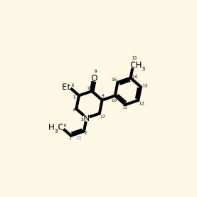 C/C=C\N1CC(CC)C(=O)C(c2cccc(C)c2)C1